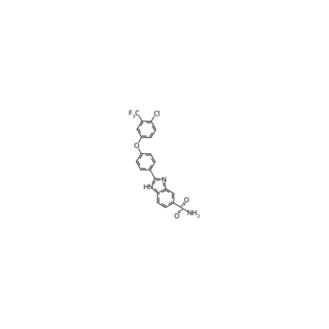 NS(=O)(=O)c1ccc2[nH]c(-c3ccc(Oc4ccc(Cl)c(C(F)(F)F)c4)cc3)nc2c1